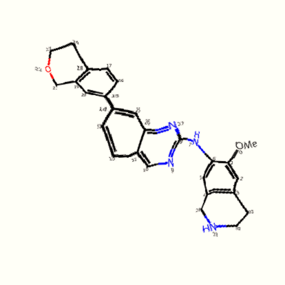 COc1cc2c(cc1Nc1ncc3ccc(-c4ccc5c(c4)COCC5)cc3n1)CNCC2